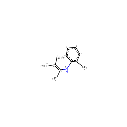 CCCC(Nc1ccccc1C(F)(F)F)=C(C(=O)OCC)C(=O)OCC